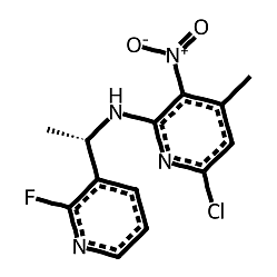 Cc1cc(Cl)nc(N[C@@H](C)c2cccnc2F)c1[N+](=O)[O-]